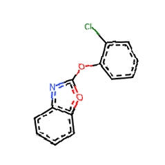 Clc1ccccc1Oc1nc2ccccc2o1